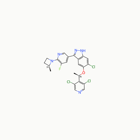 C[C@@H](Oc1cc2c(-c3cnc(N4CC[C@@H]4C)c(F)c3)n[nH]c2cc1Cl)c1c(Cl)cncc1Cl